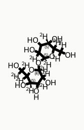 [2H]C([2H])(O)C1([2H])O[C@@]([2H])(O[C@@]2([2H])OC([2H])(C([2H])([2H])O)[C@@]([2H])(O)[C@]([2H])(O)C2([2H])O)C([2H])(O)C(O)[C@]1([2H])O